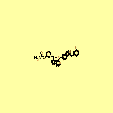 NC(=O)OC1CCCN(Cc2ccn3ncnc(Nc4ccc5c(cnn5Cc5cccc(F)c5)c4)c23)C1